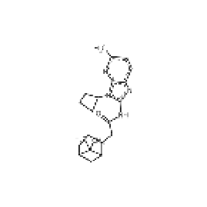 Cc1ccc2nc(NC(=O)CC3CCC4CC3C4(C)C)n(C3CCC3)c2n1